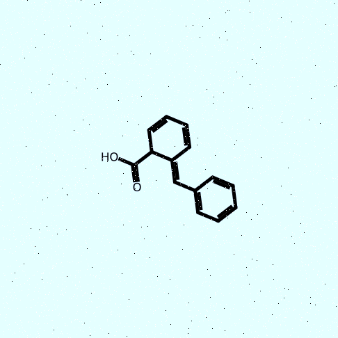 O=C(O)C1C=CC=CC1=Cc1ccccc1